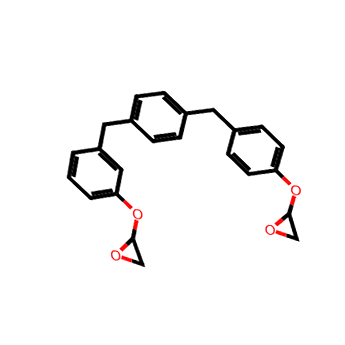 c1cc(Cc2ccc(Cc3ccc(OC4CO4)cc3)cc2)cc(OC2CO2)c1